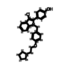 Oc1ccc(-c2c(Cl)c3ccccc3n2Cc2ccc(OCCN3CCCC3)cc2)cc1